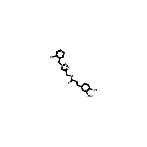 COc1cc(/C=C/C(=O)NCc2cn(Cc3ccccc3Cl)nn2)ccc1O